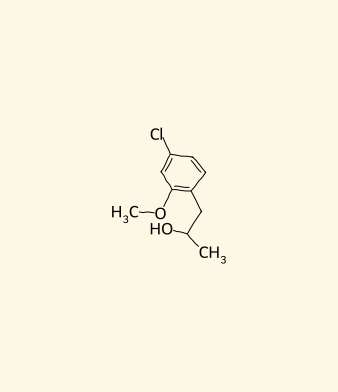 COc1cc(Cl)ccc1CC(C)O